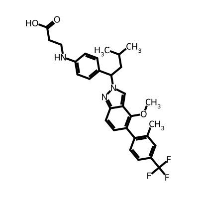 COc1c(-c2ccc(C(F)(F)F)cc2C)ccc2nn(C(CC(C)C)c3ccc(NCCC(=O)O)cc3)cc12